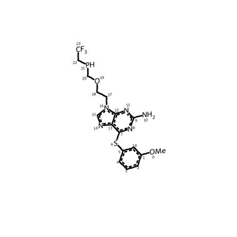 COc1cccc(Sc2nc(N)nc3c2ncn3CCOCPCC(F)(F)F)c1